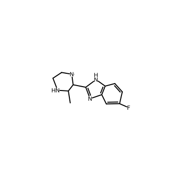 CC1NCC[N]C1c1nc2cc(F)ccc2[nH]1